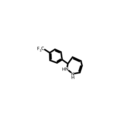 FC(F)(F)c1ccc(C2C=CC=CNN2)cc1